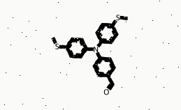 CSc1ccc(N(c2ccc(C=O)cc2)c2ccc(SC)cc2)cc1